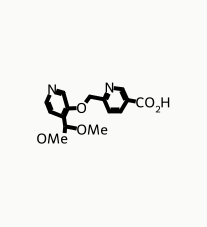 COC(OC)c1ccncc1OCc1ccc(C(=O)O)cn1